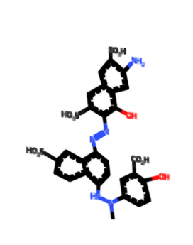 CN(Nc1ccc(/N=N/c2c(S(=O)(=O)O)cc3cc(S(=O)(=O)O)c(N)cc3c2O)c2cc(S(=O)(=O)O)ccc12)c1ccc(O)c(C(=O)O)c1